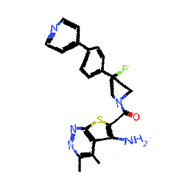 Cc1nnc2sc(C(=O)N3CC(F)(c4ccc(-c5ccncc5)cc4)C3)c(N)c2c1C